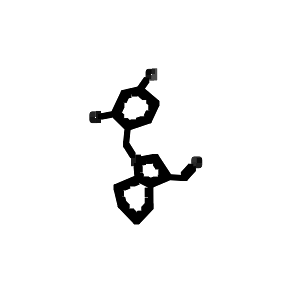 O=Cc1cn(Cc2ccc(Cl)cc2Cl)c2ccccc12